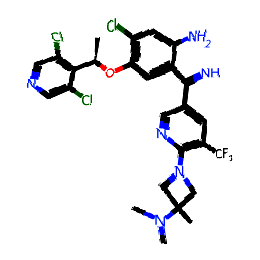 C[C@@H](Oc1cc(C(=N)c2cnc(N3CC(C)(N(C)C)C3)c(C(F)(F)F)c2)c(N)cc1Cl)c1c(Cl)cncc1Cl